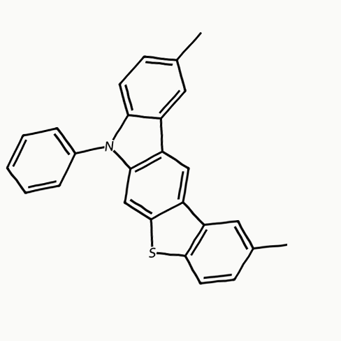 Cc1ccc2sc3cc4c(cc3c2c1)c1cc(C)ccc1n4-c1ccccc1